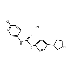 Cl.O=C(Nc1ccc(C2CCNC2)cc1)Nc1ccc(Cl)nc1